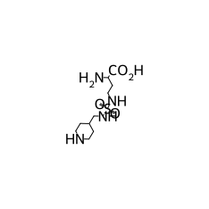 NC(CCNS(=O)(=O)NCC1CCNCC1)C(=O)O